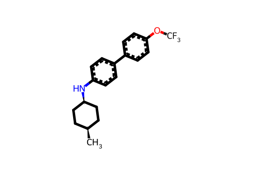 C[C@H]1CC[C@@H](Nc2ccc(-c3ccc(OC(F)(F)F)cc3)cc2)CC1